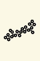 c1ccc(-n2c3ccc(N4c5ccccc5-c5ccccc5-c5ccccc54)cc3c3cc(N4c5ccccc5-c5ccccc5-c5c(-c6ccc7c(c6)-c6ccccc6N(c6ccc8c9ccc(N%10c%11ccccc%11-c%11ccccc%11-c%11ccccc%11%10)cc9n(-c9ccc%10ccccc%10c9)c8c6)c6ccccc6-7)cccc54)ccc32)cc1